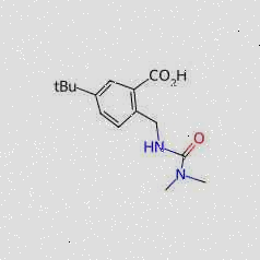 CN(C)C(=O)NCc1ccc(C(C)(C)C)cc1C(=O)O